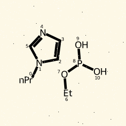 CCCn1ccnc1.CCOP(O)O